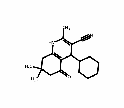 CC1=C(C#N)C(C2CCCCC2)C2=C(CC(C)(C)CC2=O)N1